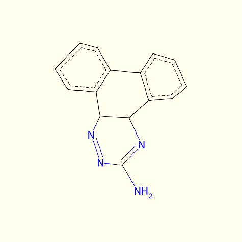 NC1=NC2c3ccccc3-c3ccccc3C2N=N1